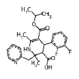 CC1=C(C(=O)OC(C)C)C(c2cccc(F)c2F)C(C(=O)O)C(C)(Cc2ccccn2)N1